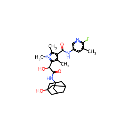 Cc1cc(NC(=O)c2c(C)c(C(O)C(=O)NC34CC5CC(CC(O)(C5)C3)C4)n(C)c2C)cnc1F